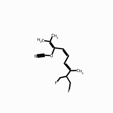 CC(C)=C(/C=C\C=C(/C)C(CF)CF)OC#N